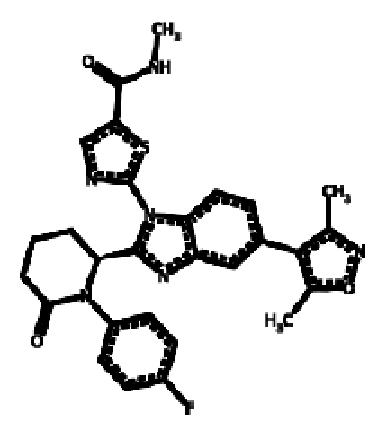 CNC(=O)c1cnc(-n2c([C@@H]3CCCC(=O)N3c3ccc(F)cc3)nc3cc(-c4c(C)noc4C)ccc32)s1